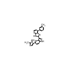 Cc1cccc(-c2ccnc3[nH]c(-c4n[nH]c5ccc(-c6cnc(C)n6C)nc45)nc23)c1